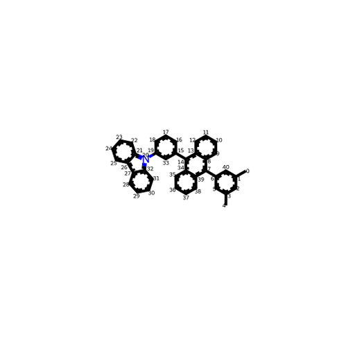 Cc1cc(C)cc(-c2c3ccccc3c(-c3cccc(-n4c5ccccc5c5ccccc54)c3)c3ccccc23)c1